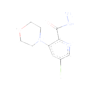 NNC(=O)c1ncc(F)cc1N1CCOCC1